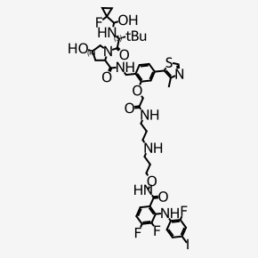 Cc1ncsc1-c1ccc(CNC(=O)C2C[C@@H](O)CN2C(=O)[C@@H](NC(O)C2(F)CC2)C(C)(C)C)c(OCC(=O)NCCCNCCCONC(=O)c2ccc(F)c(F)c2Nc2ccc(I)cc2F)c1